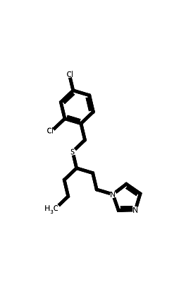 CCCC(CCn1ccnc1)SCc1ccc(Cl)cc1Cl